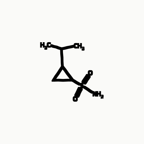 CC(C)C1CC1S(N)(=O)=O